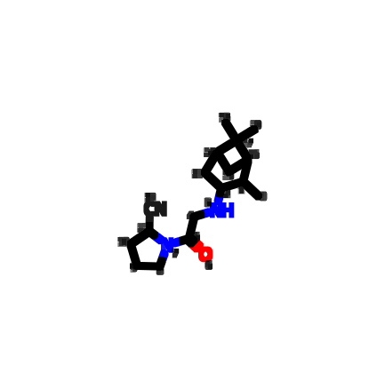 CC1C(NCC(=O)N2CCCC2C#N)CC2CC1C2(C)C